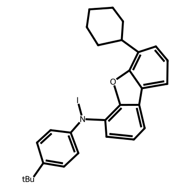 CC(C)(C)c1ccc(N(I)c2cccc3c2oc2c(C4CCCCC4)cccc23)cc1